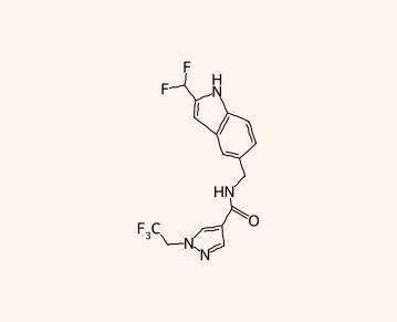 O=C(NCc1ccc2[nH]c(C(F)F)cc2c1)c1cnn(CC(F)(F)F)c1